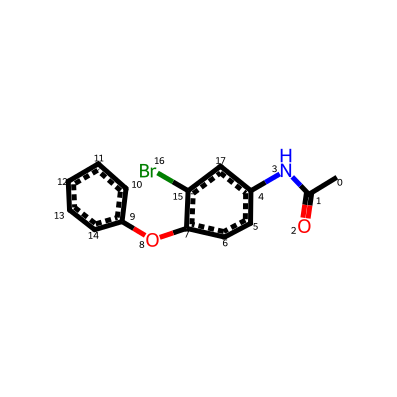 CC(=O)Nc1ccc(Oc2ccccc2)c(Br)c1